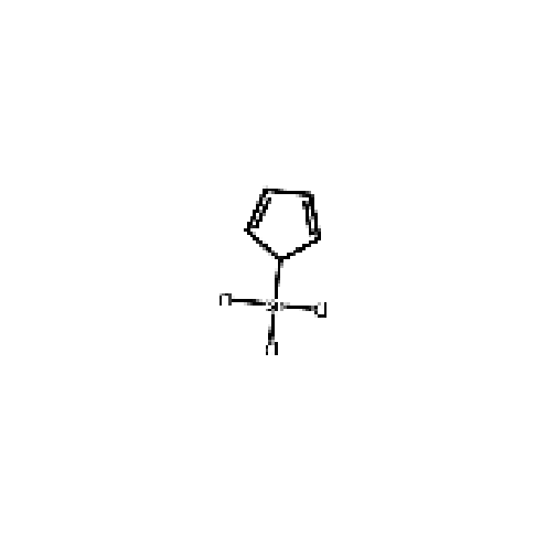 [Cl][Sn]([Cl])([Cl])[CH]1C=CC=C1